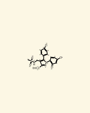 CCOC(=O)c1nn(-c2ccc(Cl)cc2Cl)c(-c2ccc(Cl)cc2)c1CNS(C)(=O)=O